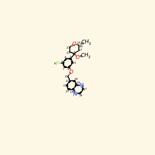 CO[C@]1(c2cc(F)cc(OCc3ccc4nccnc4c3)c2)CCO[C@H](C)C1